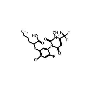 CCCCC(Sc1cc(-n2c(=O)cc(C(F)(F)F)n(C)c2=O)c(F)cc1Cl)C(=O)O